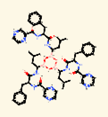 CC(C)CC(NC(=O)C(Cc1ccccc1)NC(=O)c1cnccn1)B1OB(C(CC(C)C)NC(=O)C(Cc2ccccc2)NC(=O)c2cnccn2)OB(C(CC(C)C)NC(=O)C(Cc2ccccc2)NC(=O)c2cnccn2)O1